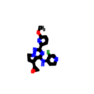 COc1cccc(-c2nc(Nc3ccncc3F)c3c(C4CO4)ccn3n2)n1